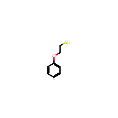 SCCOc1ccccc1